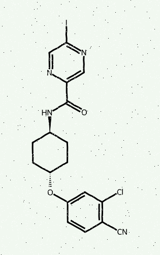 N#Cc1ccc(O[C@H]2CC[C@H](NC(=O)c3cnc(I)cn3)CC2)cc1Cl